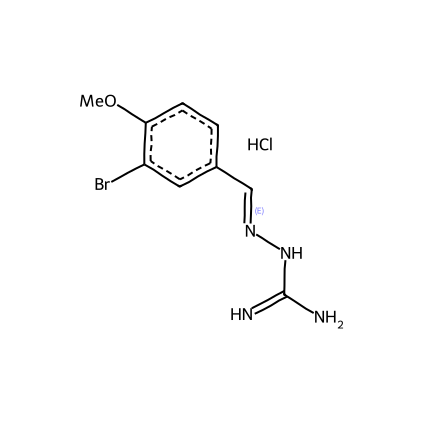 COc1ccc(/C=N/NC(=N)N)cc1Br.Cl